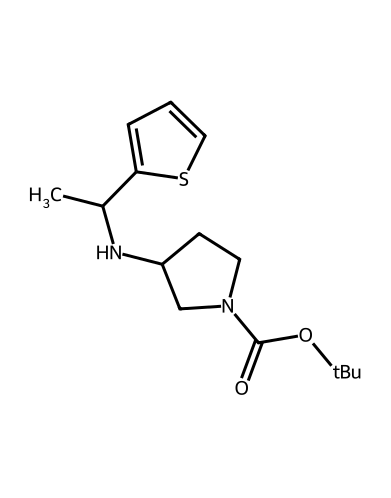 CC(NC1CCN(C(=O)OC(C)(C)C)C1)c1cccs1